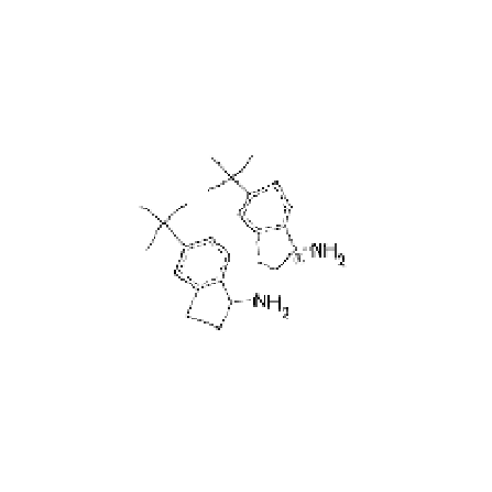 CC(C)(C)c1ccc2c(c1)CCC2N.CC(C)(C)c1ccc2c(c1)CC[C@H]2N